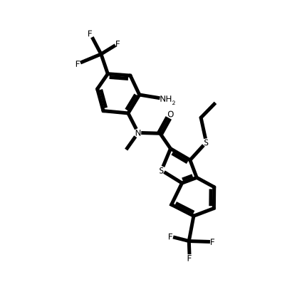 CCSc1c(C(=O)N(C)c2ccc(C(F)(F)F)cc2N)sc2cc(C(F)(F)F)ccc12